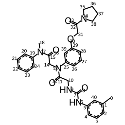 Cc1cccc(NC(=O)NCC(=O)N(CC(=O)N(C)c2ccccc2)c2cccc(OCC(=O)N3CCCC3)c2)c1